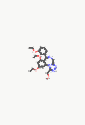 CCOc1cccc(C2=NCc3nnc(COC)n3-c3cc(OCC)cc(OCC)c32)c1